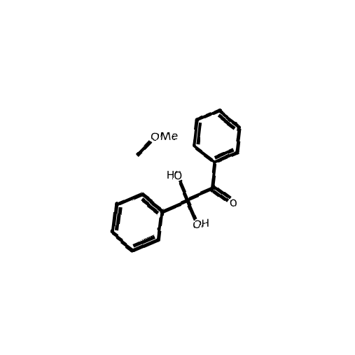 COC.O=C(c1ccccc1)C(O)(O)c1ccccc1